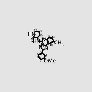 COc1cccc(-c2nc3c4cc(C)ccc4nc(N[C@H]4CCCNC4=O)n3n2)c1